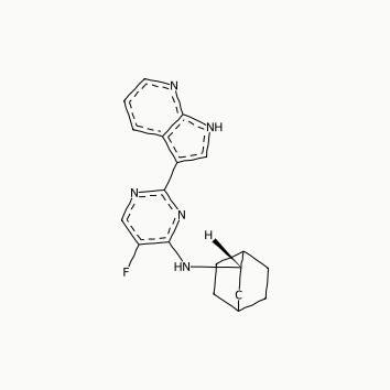 Fc1cnc(-c2c[nH]c3ncccc23)nc1N[C@H]1CC2CCC1CC2